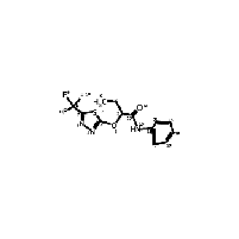 CCC(Oc1nnc(C(F)(F)F)s1)C(=O)Nc1ccccc1